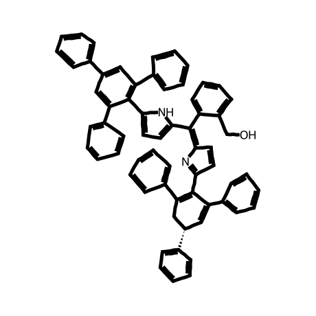 OCc1ccccc1/C(=C1\C=CC(C2=C(c3ccccc3)C[C@@H](c3ccccc3)C=C2c2ccccc2)=N1)c1ccc(-c2c(-c3ccccc3)cc(-c3ccccc3)cc2-c2ccccc2)[nH]1